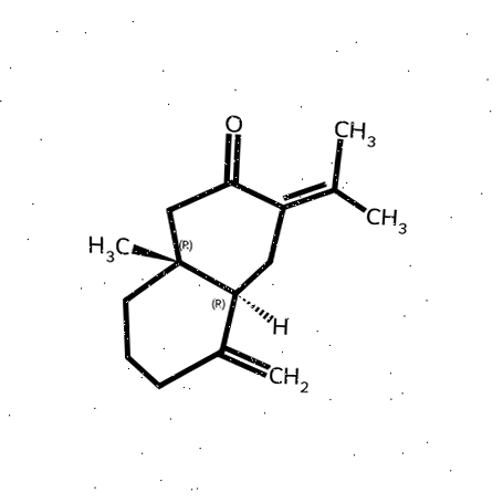 C=C1CCC[C@]2(C)CC(=O)C(=C(C)C)C[C@@H]12